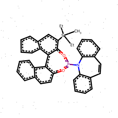 CC[Si](C)(CC)c1cc2ccccc2c2c1op(N1c3ccccc3C=Cc3ccccc31)oc1ccc3ccccc3c12